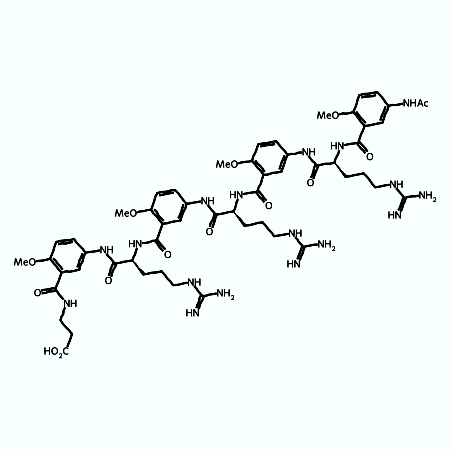 COc1ccc(NC(=O)[C@H](CCCNC(=N)N)NC(=O)c2cc(NC(=O)[C@H](CCCNC(=N)N)NC(=O)c3cc(NC(=O)[C@H](CCCNC(=N)N)NC(=O)c4cc(NC(C)=O)ccc4OC)ccc3OC)ccc2OC)cc1C(=O)NCCC(=O)O